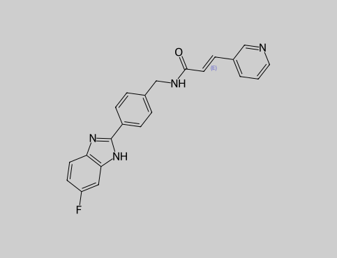 O=C(/C=C/c1cccnc1)NCc1ccc(-c2nc3ccc(F)cc3[nH]2)cc1